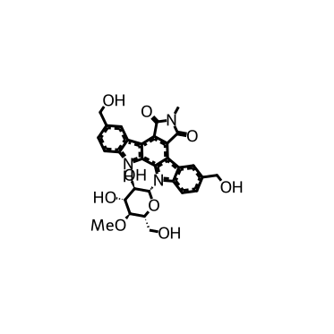 CO[C@H]1[C@H](O)[C@@H](O)[C@H](n2c3ccc(CO)cc3c3c4c(c5c6cc(CO)ccc6[nH]c5c32)C(=O)N(C)C4=O)O[C@@H]1CO